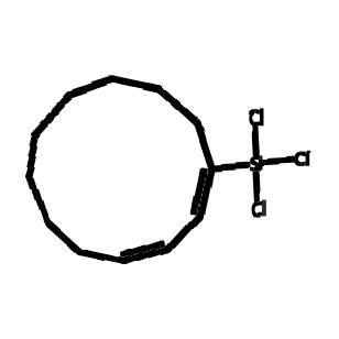 Cl[Si](Cl)(Cl)C1=CC=CCCCCCCCC1